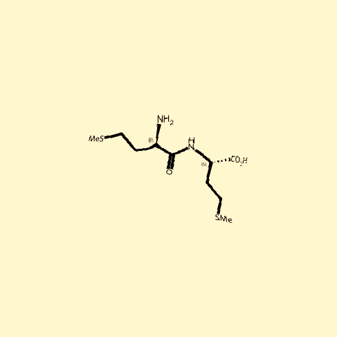 CSCC[C@@H](N)C(=O)N[C@@H](CCSC)C(=O)O